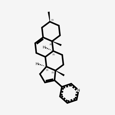 C[C@H]1CC[C@@]2(C)C(=CCC3[C@@H]2CC[C@]2(C)C(c4cccnc4)=CC[C@@H]32)C1